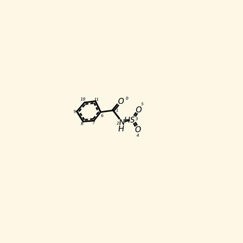 O=C(N[SH](=O)=O)c1ccccc1